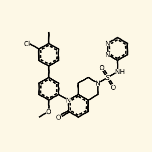 COc1ccc(-c2ccc(C)c(Cl)c2)cc1-n1c2c(ccc1=O)CN(S(=O)(=O)Nc1cccnn1)CC2